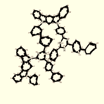 C1=CCC(c2ccc(C3=NC(c4ccc(-n5c6ccccc6c6cc7c8ccccc8n(-c8cccc(-c9cccc(-c%10nc(-c%11ccc(-c%12ccccc%12)cc%11)nc(-n%11c%12ccccc%12c%12cc%13c%14ccccc%14n(-c%14ccccc%14)c%13cc%12%11)n%10)c9)c8)c7cc65)cc4)NC(c4ccccc4)N3)cn2)C=C1